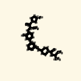 CC(C)OC(=O)N1CCC(COc2cc(-c3ccc(C[C@H](N)C(=O)N4CC[C@H](F)C4)c(F)c3)ccn2)CC1